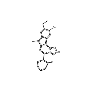 CCc1cc2c(cc1O)c1c3c[nH]cc3c(-c3ccccc3Cl)cc1n2C